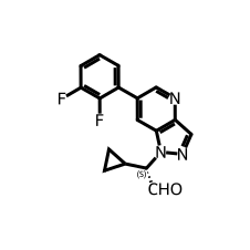 O=C[C@H](C1CC1)n1ncc2ncc(-c3cccc(F)c3F)cc21